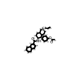 C=CC[N@@+]1(C)CC[C@@]2(c3cccc(OC(C)=O)c3)C[C@H](NC(=O)c3ccc4ccccc4c3)CCC2C1